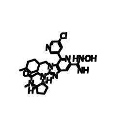 CC1CCC(Cn2c(N3CC(=O)N(C)[C@H]4CCC[C@@H]43)nc3cc(C(=N)NO)nc(-c4cncc(Cl)c4)c32)CC1